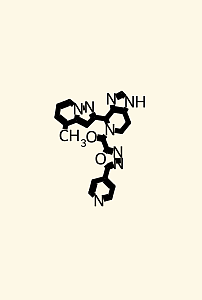 Cc1cccn2nc(C3c4nc[nH]c4CCN3C(=O)c3nnc(-c4ccncc4)o3)cc12